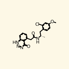 COc1ccc(C[C@H](C)NC(=O)Cc2cccc3[nH]nnc(=O)c23)c(Cl)c1